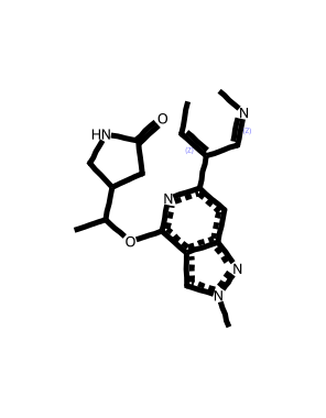 C/C=C(\C=N/C)c1cc2nn(C)cc2c(OC(C)C2CNC(=O)C2)n1